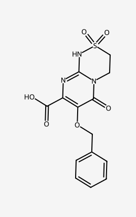 O=C(O)c1nc2n(c(=O)c1OCc1ccccc1)CCS(=O)(=O)N2